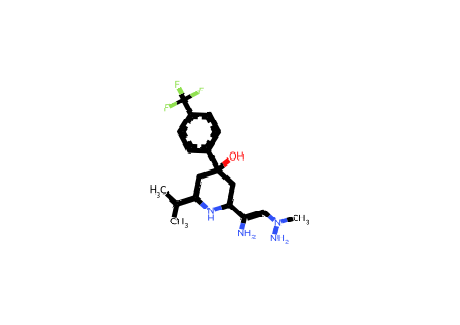 CC(C)C1CC(O)(c2ccc(C(F)(F)F)cc2)CC(/C(N)=C/N(C)N)N1